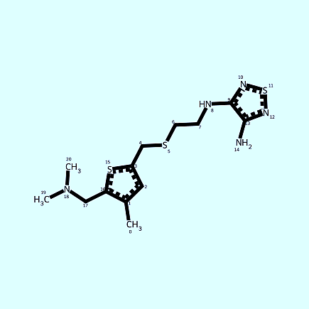 Cc1cc(CSCCNc2nsnc2N)sc1CN(C)C